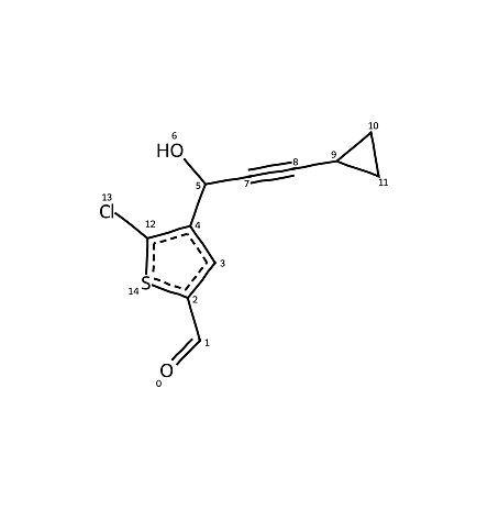 O=Cc1cc(C(O)C#CC2CC2)c(Cl)s1